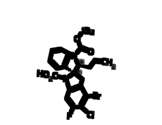 C=CC[C@H](NC(=O)OC(C)(C)C)[C@@]1(c2ccccc2)Cc2c(cc(F)c(Cl)c2Br)N1C(=O)O